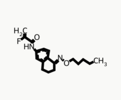 C=C(F)C(=O)Nc1ccc2c(c1)CCCC2=NOCCCCC